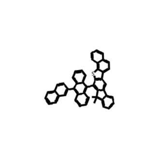 CC1(C)c2ccccc2-c2cc3c(sc4c5ccccc5ccc34)c(-c3c4ccccc4c(-c4ccc5ccccc5c4)c4ccccc34)c21